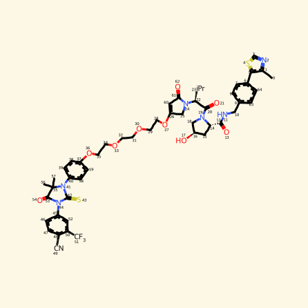 Cc1ncsc1-c1ccc(CNC(=O)[C@@H]2C[C@@H](O)CN2C(=O)[C@H](C(C)C)N2CC(OCCOCCOCCOc3ccc(N4C(=S)N(c5ccc(C#N)c(C(F)(F)F)c5)C(=O)C4(C)C)cc3)=CC2=O)cc1